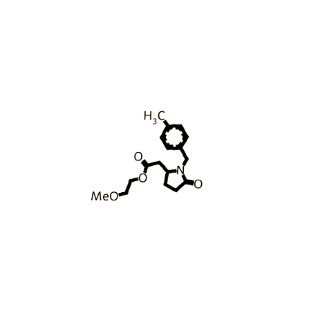 COCCOC(=O)CC1CCC(=O)N1Cc1ccc(C)cc1